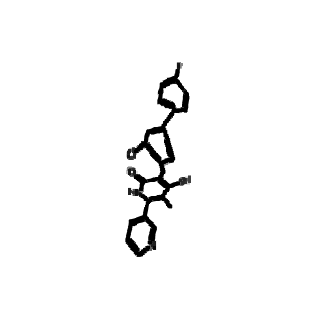 Cc1c(-c2cccnc2)[nH]c(=O)c(-c2ccc(-c3ccc(F)cc3)cc2Cl)c1O